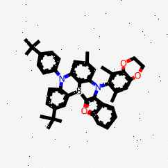 Cc1cc2c3c(c1)N(c1c(C)cc4c(c1C)OCCO4)c1c(oc4ccccc14)B3c1cc(C(C)(C)C)ccc1N2c1ccc(C(C)(C)C)cc1